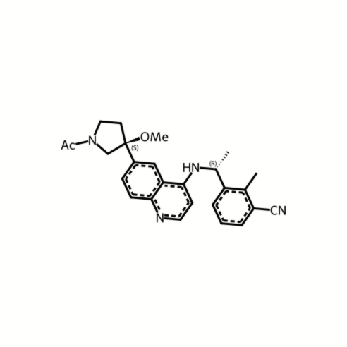 CO[C@]1(c2ccc3nccc(N[C@H](C)c4cccc(C#N)c4C)c3c2)CCN(C(C)=O)C1